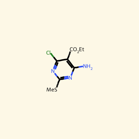 CCOC(=O)c1c(N)nc(SC)nc1Cl